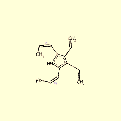 C=Cc1c(/C=C\C)[nH]c(/C=C\CC)c1C=C